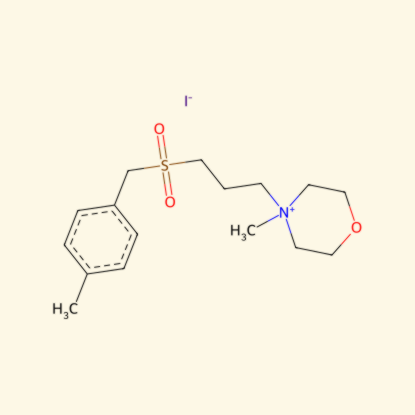 Cc1ccc(CS(=O)(=O)CCC[N+]2(C)CCOCC2)cc1.[I-]